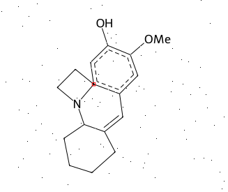 COc1cc(/C=C2/CCCCC2N2CCC2)ccc1O